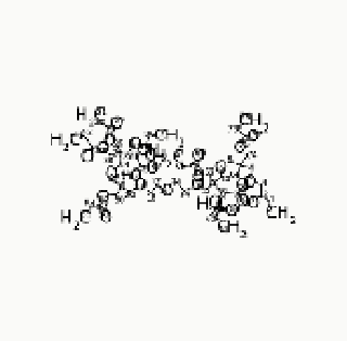 C=CC(=O)COCC(COCC(COCCOCCOCC(COCC(COC(=O)C=C)(COC(=O)C=C)COC(=O)C=C)(COC(=O)C=C)COC(=O)C=C)(COC(=O)C=C)COC(=O)C=C)(COC(=O)C=C)COC(=O)C=C